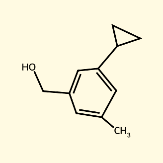 Cc1cc(CO)cc(C2CC2)c1